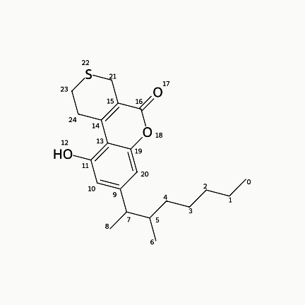 CCCCCC(C)C(C)c1cc(O)c2c3c(c(=O)oc2c1)CSCC3